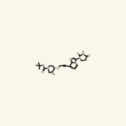 C[C@H]1CN(C(=O)OC(C)(C)C)CC[C@@H]1OCC#Cc1cccn2c(N3CCC(=O)NC3=O)cnc12